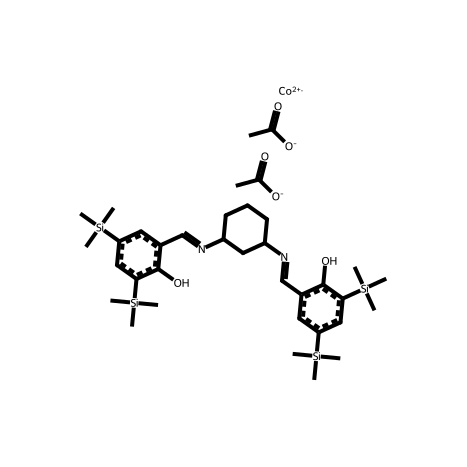 CC(=O)[O-].CC(=O)[O-].C[Si](C)(C)c1cc(C=NC2CCCC(N=Cc3cc([Si](C)(C)C)cc([Si](C)(C)C)c3O)C2)c(O)c([Si](C)(C)C)c1.[Co+2]